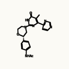 CC(=O)Nc1ccc([C@H]2CN(c3nc(-c4ccncn4)c(C)c(=O)[nH]3)CCO2)cc1